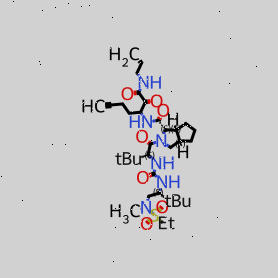 C#CCCC(NC(=O)[C@@H]1[C@H]2CCC[C@H]2CN1C(=O)[C@@H](NC(=O)N[C@H](CN(C)S(=O)(=O)CC)C(C)(C)C)C(C)(C)C)C(=O)C(=O)NCC=C